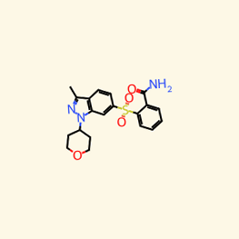 Cc1nn(C2CCOCC2)c2cc(S(=O)(=O)c3ccccc3C(N)=O)ccc12